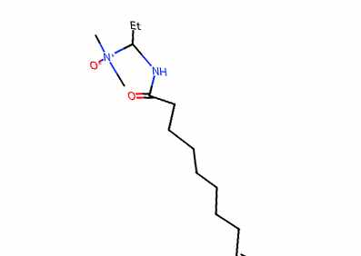 CCCCCCCC/C=C\CCCCCCCC(=O)NC(CC)[N+](C)(C)[O-]